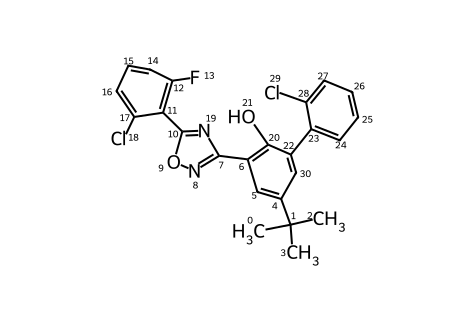 CC(C)(C)c1cc(-c2noc(-c3c(F)cccc3Cl)n2)c(O)c(-c2ccccc2Cl)c1